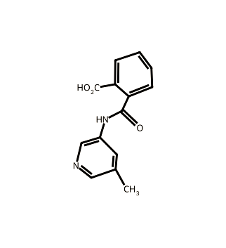 Cc1cncc(NC(=O)c2ccccc2C(=O)O)c1